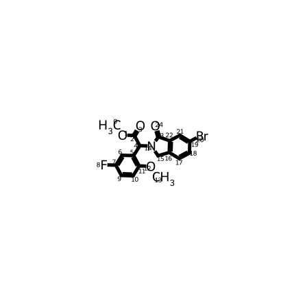 COC(=O)C(c1cc(F)ccc1OC)N1Cc2ccc(Br)cc2C1=O